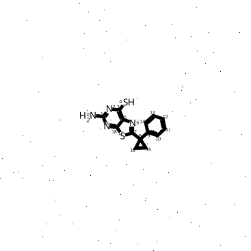 Nc1nc(S)c2nc(C3(c4ccccc4)CC3)sc2n1